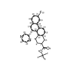 CC(C)(C)OC(=O)C1CCc2c(ccc3c2ccc2ccc(F)cc23)C1.c1cnccn1